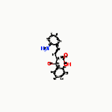 Nc1ccccc1C=CC(C(=O)O)C(=O)c1ccccc1